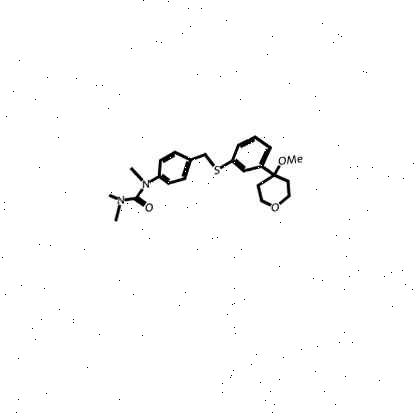 COC1(c2cccc(SCc3ccc(N(C)C(=O)N(C)C)cc3)c2)CCOCC1